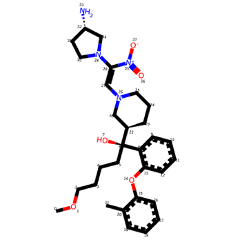 COCCCC[C@@](O)(c1ccccc1Oc1ccccc1C)[C@@H]1CCCN(C=C(N2CC[C@H](N)C2)[N+](=O)[O-])C1